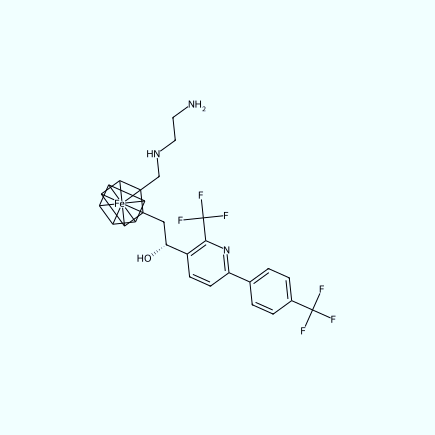 NCCNC[C]12[CH]3[CH]4[CH]5[C]1(C[C@@H](O)c1ccc(-c6ccc(C(F)(F)F)cc6)nc1C(F)(F)F)[Fe]43521678[CH]2[CH]1[CH]6[CH]7[CH]28